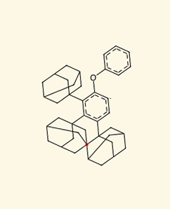 [c]1cc(C23CC4CC(CC(C4)C2)C3)c(C23CC4CC(CC(C4)C2)C3)c(C23CC4CC(CC(C4)C2)C3)c1Oc1ccccc1